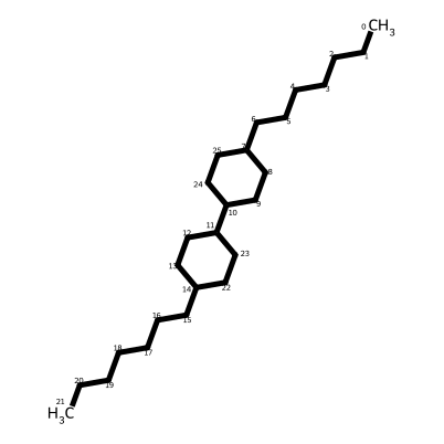 CCCCCCCC1CCC(C2CCC(CCCCCCC)CC2)CC1